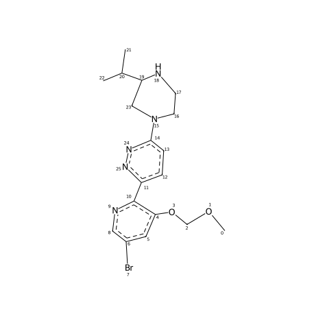 COCOc1cc(Br)cnc1-c1ccc(N2CCNC(C(C)C)C2)nn1